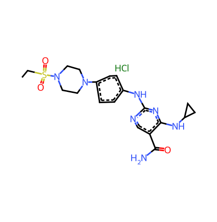 CCS(=O)(=O)N1CCN(c2ccc(Nc3ncc(C(N)=O)c(NC4CC4)n3)cc2)CC1.Cl